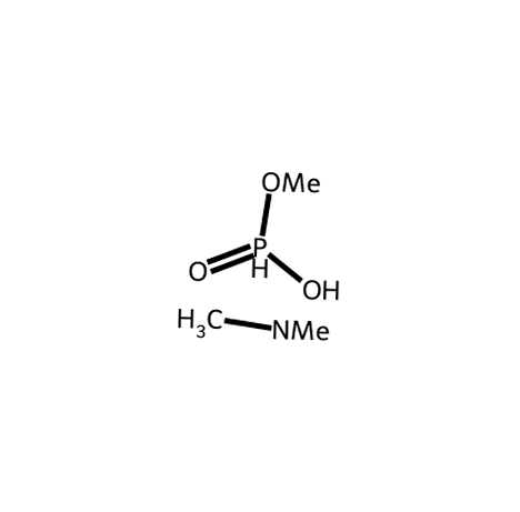 CNC.CO[PH](=O)O